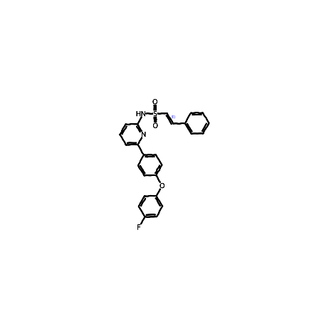 O=S(=O)(/C=C/c1ccccc1)Nc1cccc(-c2ccc(Oc3ccc(F)cc3)cc2)n1